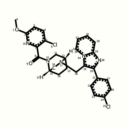 COc1ccc(Cl)c(C(=O)N2C[C@@H]3CC[C@H]2CN3Cc2c(-c3ccc(Cl)cc3)nc3ccccn23)n1